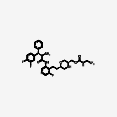 NC(C(=O)Nc1cncc(F)c1CC[C@@H]1CN[C@H](COC(=O)NCC(F)(F)F)CO1)[C@H](c1ccccc1)c1ccc(F)c(F)c1